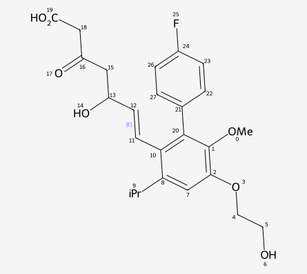 COc1c(OCCO)cc(C(C)C)c(/C=C/C(O)CC(=O)CC(=O)O)c1-c1ccc(F)cc1